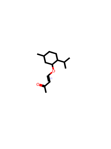 CC(=O)/C=C/OC1CC(C)CCC1C(C)C